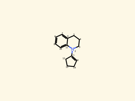 C1=C(N2CCCc3ccccc32)CCC1